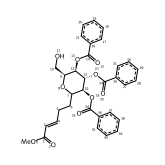 COC(=O)/C=C/CCC1O[C@@H](CO)[C@@H](OC(=O)c2ccccc2)[C@H](OC(=O)c2ccccc2)[C@H]1OC(=O)c1ccccc1